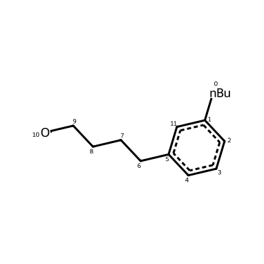 CCCCc1cccc(CCCC[O])c1